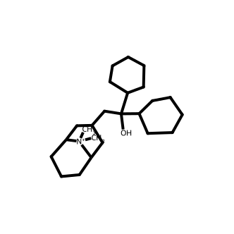 C[N+]1(C)C2CCCC1CC(CC(O)(C1CCCCC1)C1CCCCC1)C2